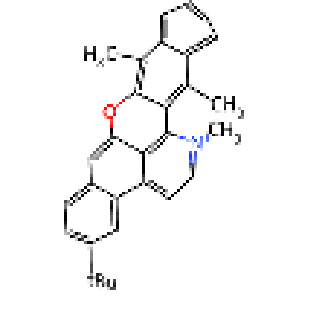 Cc1c2c(c(C)c3ccccc13)-c1c3c(cc4ccc(C(C)(C)C)cc4c3cc[n+]1C)O2